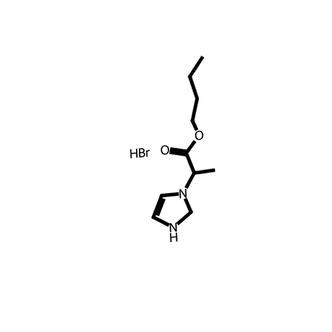 Br.CCCCOC(=O)C(C)N1C=CNC1